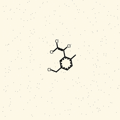 Cc1ccc(CCl)cc1C(Cl)=C(Cl)Cl